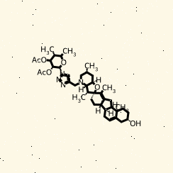 CC(=O)OC1[C@@H](C)C(C)O[C@@H](n2cc(CN3C[C@@H](C)C[C@H]4O[C@]5(CC[C@@H]6C(=C5C)C[C@H]5[C@H]6CC=C6C[C@@H](O)CC[C@@]65C)[C@H](C)[C@@H]43)nn2)[C@H]1OC(C)=O